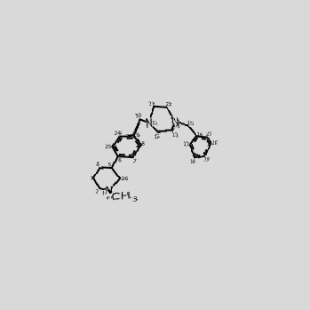 CN1CCCC(c2ccc(CN3CCN(Cc4ccccc4)CC3)cc2)C1